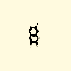 O=c1[nH]c2cc(F)ccc2cc1Cl